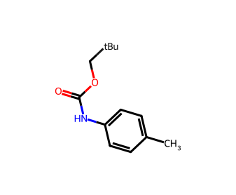 Cc1ccc(NC(=O)OCC(C)(C)C)cc1